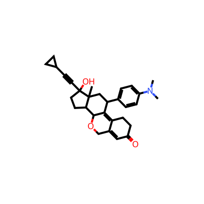 CN(C)c1ccc(C2CC3(C)C(CCC3(O)C#CC3CC3)C3OCC4=CC(=O)CCC4=C23)cc1